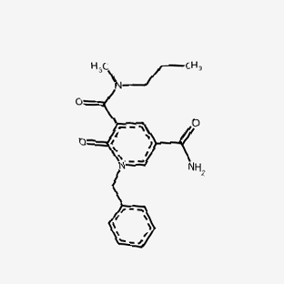 CCCN(C)C(=O)c1cc(C(N)=O)cn(Cc2ccccc2)c1=O